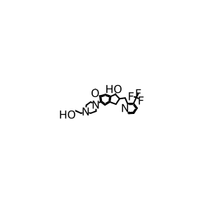 COc1cc2c(cc1N1CCN(CCO)CC1)CC(Cc1ncccc1C(F)(F)F)C2O